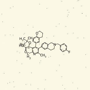 Cc1nc(C)c([C@H](OC(C)(C)C)C(=O)O)c(-c2ccc3c(c2)CCCO3)c1-c1ccc2c(c1)CCN(Cc1ccc(F)cc1)C2